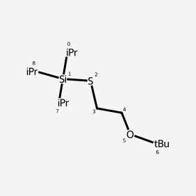 CC(C)[Si](SCCOC(C)(C)C)(C(C)C)C(C)C